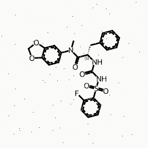 CN(C(=O)[C@H](Cc1ccccc1)NC(=O)NS(=O)(=O)c1ccccc1F)c1ccc2c(c1)OCO2